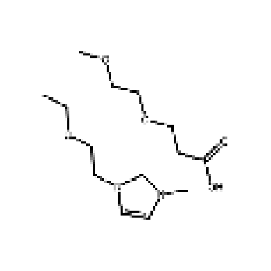 CCOCCN1C=CN(C)C1.COCCOCCC(=O)O